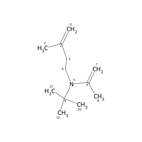 C=C(C)CCN(C(=C)C)C(C)(C)C